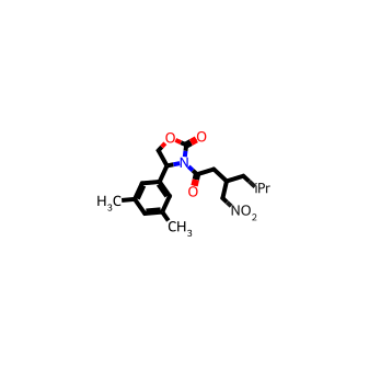 Cc1cc(C)cc(C2COC(=O)N2C(=O)CC(CC(C)C)C[N+](=O)[O-])c1